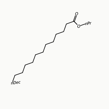 CCCCCCCCCCCCCCCCCCCCCC(=O)OCCC